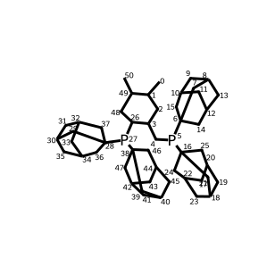 CC1CC(CP(C23CC4CC(CC(C4)C2)C3)C23CC4CC(CC(C4)C2)C3)C(P(C23CC4CC(CC(C4)C2)C3)C23CC4CC(CC(C4)C2)C3)CC1C